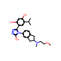 COCCN(C)C1Cc2ccc(-n3c(O)nnc3-c3cc(C(C)C)c(O)cc3O)cc2C1